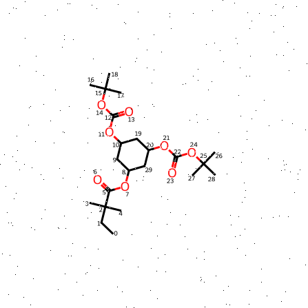 CCC(C)(C)C(=O)OC1CC(OC(=O)OC(C)(C)C)CC(OC(=O)OC(C)(C)C)C1